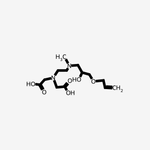 C=CCOCC(O)CN(C)CCN(CC(=O)O)CC(=O)O